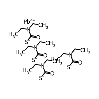 CCN(CC)C(=O)[S-].CCN(CC)C(=O)[S-].CCN(CC)C(=O)[S-].CCN(CC)C(=O)[S-].[Pb+4]